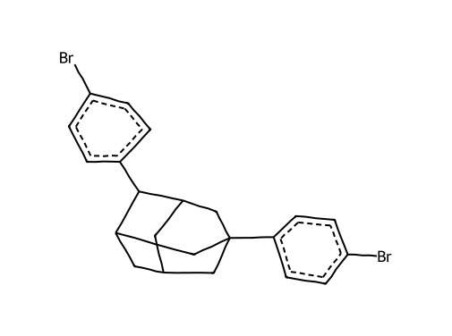 Brc1ccc(C2C3CC4CC2CC(c2ccc(Br)cc2)(C4)C3)cc1